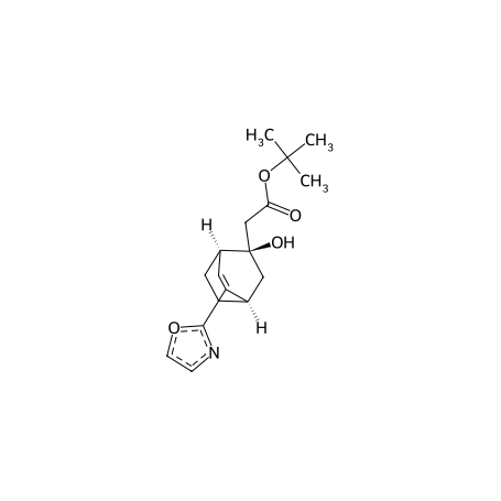 CC(C)(C)OC(=O)C[C@]1(O)C[C@H]2CC[C@@H]1C=C2c1ncco1